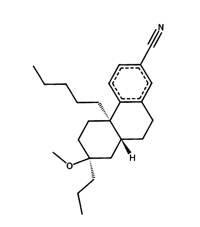 CCCCC[C@@]12CC[C@](CCC)(OC)C[C@H]1CCc1cc(C#N)ccc12